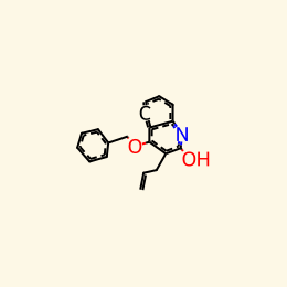 C=CCc1c(O)nc2ccccc2c1OCc1ccccc1